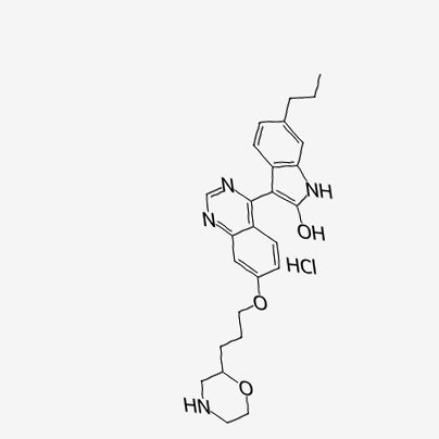 CCCc1ccc2c(-c3ncnc4cc(OCCCC5CNCCO5)ccc34)c(O)[nH]c2c1.Cl